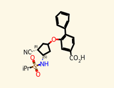 CC(C)S(=O)(=O)N[C@H]1CC(Oc2cc(C(=O)O)ccc2-c2ccccc2)C[C@H]1C#N